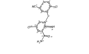 N#Cc1ccc(Cl)c(Cn2cc(Cl)cc(C(N)=O)c2=N)c1